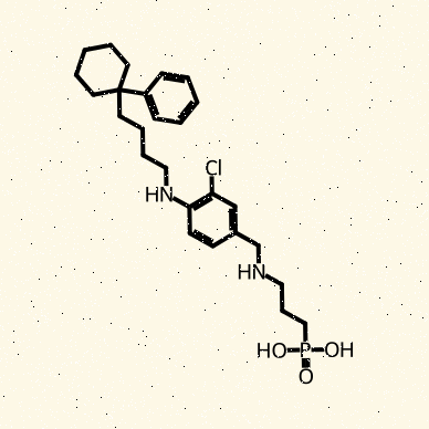 O=P(O)(O)CCCNCc1ccc(NCCCCC2(c3ccccc3)CCCCC2)c(Cl)c1